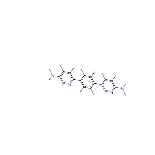 Cc1c(-c2c(C)c(C)c(-c3nnc(N(C)C)c(C)c3C)c(C)c2C)nnc(N(C)C)c1C